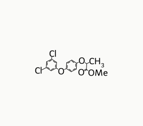 COC(=O)C(C)Oc1ccc(Oc2cc(Cl)cc(Cl)c2)cc1